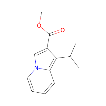 COC(=O)c1cn2ccccc2c1C(C)C